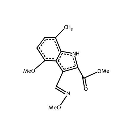 CON=Cc1c(C(=O)OC)[nH]c2c(C)ccc(OC)c12